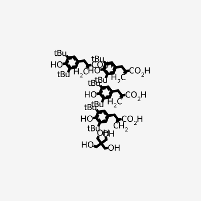 C=C(Cc1cc(C(C)(C)C)c(O)c(C(C)(C)C)c1)C(=O)O.C=C(Cc1cc(C(C)(C)C)c(O)c(C(C)(C)C)c1)C(=O)O.C=C(Cc1cc(C(C)(C)C)c(O)c(C(C)(C)C)c1)C(=O)O.C=C(Cc1cc(C(C)(C)C)c(O)c(C(C)(C)C)c1)C(=O)O.OCC(CO)(CO)CO